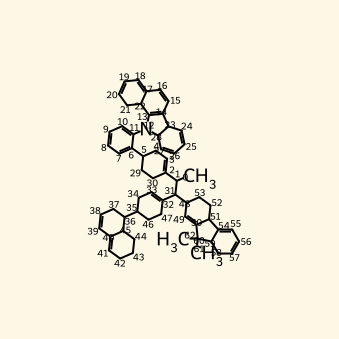 CC(C1=CCC(c2ccccc2N2C3=C(C=CC4=CC=CCC43)C3C=CC=CC32)CC1)C(C1=CCC(C2CC=CC3=CCCCC32)CC1)C1C=C2C(CC1)C1=CC=CCC1C2(C)C